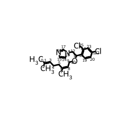 CC(C)=CCCC(C)=CCOC(Cn1ccnc1)c1ccc(Cl)cc1Cl